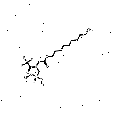 CCCCCCCCCCOC(=O)CN(CP(=O)(OCl)OCl)C(=O)C(F)(F)F